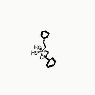 OP(O)(S)=S(CCc1ccccc1)CCc1ccccc1